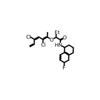 C=C/C(Cl)=C\C(Cl)=C(/C)OC(CC)C(=O)NC1CCCC2=C1C=CC(F)C2